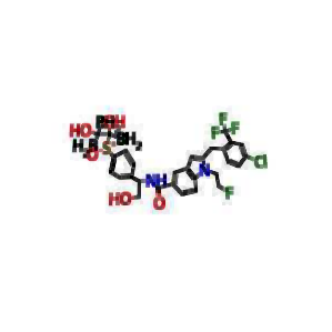 BC(B)(O)C(B)(O)[S+]([O-])c1ccc(C(CO)NC(=O)c2ccc3c(c2)cc(Cc2ccc(Cl)cc2C(F)(F)F)n3CCF)cc1